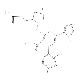 COC(=O)C1=C(CN2CC(F)(F)CC2CCC(=O)O)NC(c2nccn2C)=NC1c1ccc(F)cc1Cl